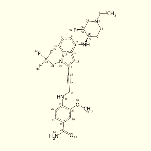 CCN1CC[C@@H](Nc2cccc3c2cc(C#CCNc2ccc(C(N)=O)cc2OC)n3CC(F)(F)F)[C@@H](F)C1